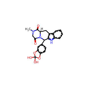 CN1CC(=O)N2C(c3ccc4c(c3)OC(O)(O)O4)c3[nH]c4ccccc4c3C[C@@H]2C1=O